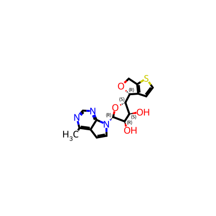 Cc1ncnc2c1ccn2[C@@H]1O[C@H]([C@@H]2OCc3sccc32)[C@@H](O)[C@H]1O